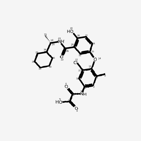 Cc1cc(NC(=O)C(=O)O)cc(Cl)c1Oc1ccc(O)c(C(=O)N[C@@H](C)C2CCCCC2)c1